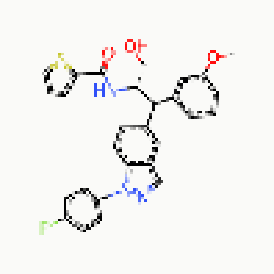 COc1cccc([C@@H](c2ccc3c(cnn3-c3ccc(F)cc3)c2)[C@@H](CO)NC(=O)c2cccs2)c1